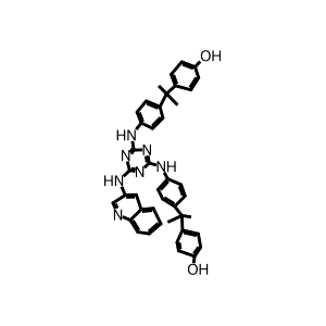 CC(C)(c1ccc(O)cc1)c1ccc(Nc2nc(Nc3ccc(C(C)(C)c4ccc(O)cc4)cc3)nc(Nc3cnc4ccccc4c3)n2)cc1